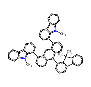 Cn1c2ccccc2c2cccc(-c3cccc4c(-c5cccc6c5C(C)(C)c5ccccc5-6)c5cccc(-c6cccc7c8ccccc8n(C)c67)c5cc34)c21